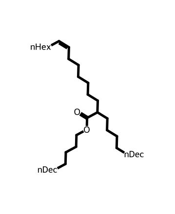 CCCCCC/C=C\CCCCCCC(CCCCCCCCCCCCCC)C(=O)OCCCCCCCCCCCCCC